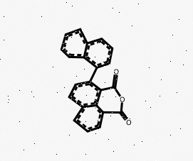 O=C1OC(=O)c2c(-c3cccc4ccccc34)ccc3cccc1c23